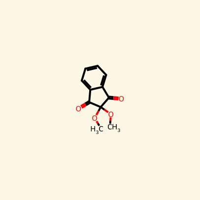 COC1(OC)C(=O)c2ccccc2C1=O